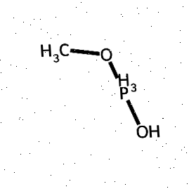 CO[PH3]O